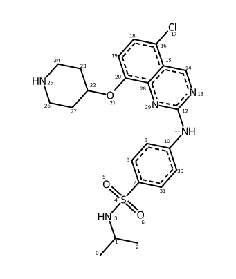 CC(C)NS(=O)(=O)c1ccc(Nc2ncc3c(Cl)ccc(OC4CCNCC4)c3n2)cc1